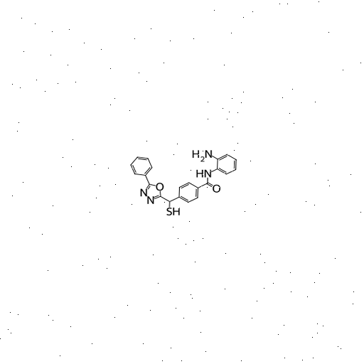 Nc1ccccc1NC(=O)c1ccc(C(S)c2nnc(-c3ccccc3)o2)cc1